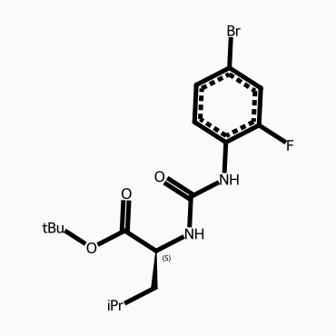 CC(C)C[C@H](NC(=O)Nc1ccc(Br)cc1F)C(=O)OC(C)(C)C